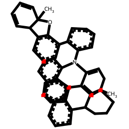 CC1C=C(c2cccc3cccc(C4CCCCC4)c23)C(N(c2ccccc2-c2cccc3c2OC2(C)C=CC=CC32)c2cccc3ccccc23)=CC1